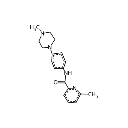 Cc1cccc(C(=O)Nc2ccc(N3CCN(C)CC3)cc2)n1